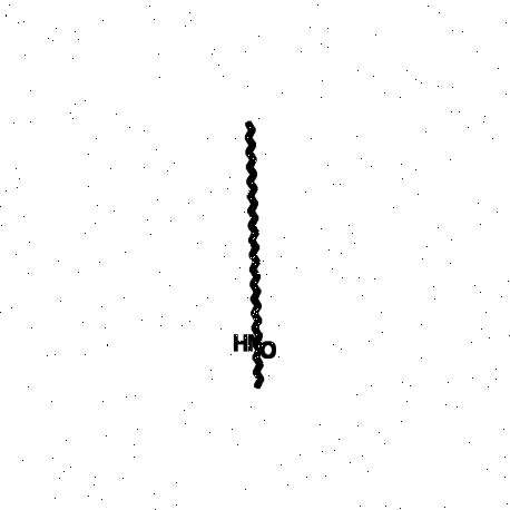 CCCCCCCCCCCCCCCCCCCCCCCCCCCCCCNC(=O)CCCCC